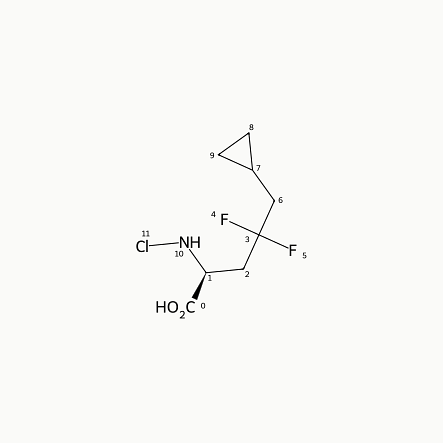 O=C(O)[C@H](CC(F)(F)CC1CC1)NCl